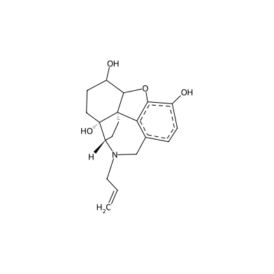 C=CCN1Cc2ccc(O)c3c2[C@@]24CC[C@H]1[C@@]2(O)CCC(O)C4O3